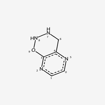 c1cnc2c(n1)CNNO2